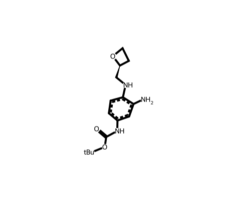 CC(C)(C)OC(=O)Nc1ccc(NC[C@@H]2CCO2)c(N)c1